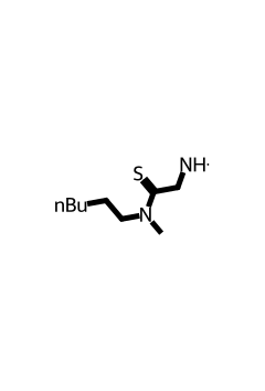 CCCCCCN(C)C(=S)C[NH]